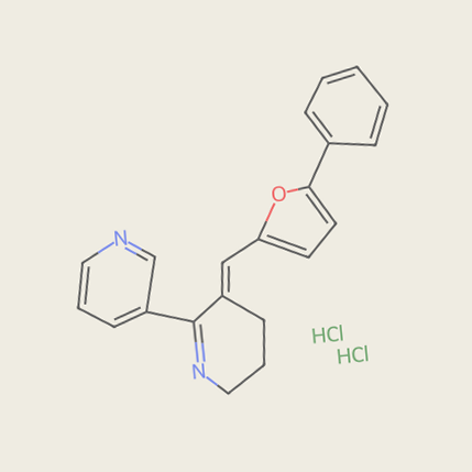 C(=C1CCCN=C1c1cccnc1)c1ccc(-c2ccccc2)o1.Cl.Cl